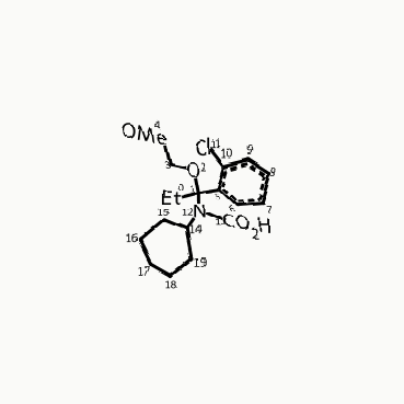 CCC(OCOC)(c1ccccc1Cl)N(C(=O)O)C1CCCCC1